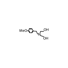 COc1ccc(CCN(CCO)CCO)cc1